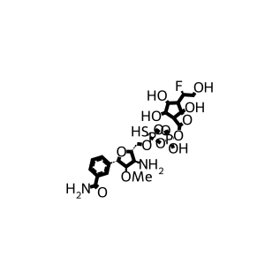 CO[C@@H]1[C@H](N)[C@@H](COP(=O)(S)OP(=O)(O)OC2OC3(O)C2C(O)C(O)C3[C@@H](F)CO)O[C@H]1c1cccc(C(N)=O)c1